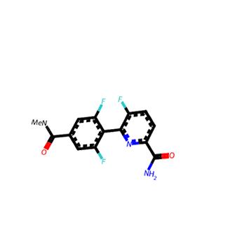 CNC(=O)c1cc(F)c(-c2nc(C(N)=O)ccc2F)c(F)c1